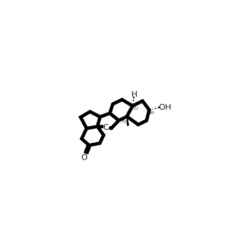 C[C@]12CC[C@@H](O)C[C@@H]1CCC1C3CCC4CC(=O)CCC43CCC12